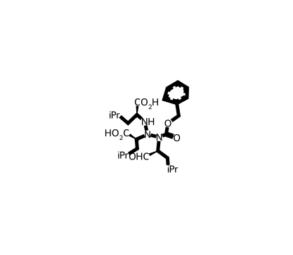 CC(C)C[C@H](NN([C@@H](CC(C)C)C(=O)O)N(C(=O)OCc1ccccc1)[C@H](C=O)CC(C)C)C(=O)O